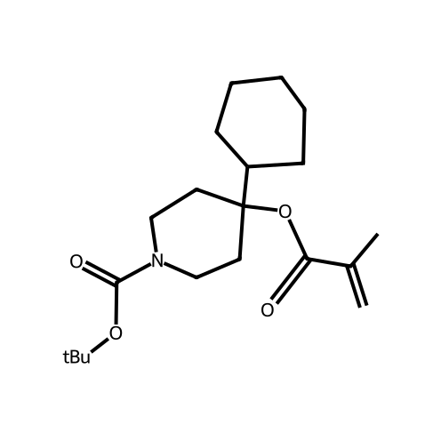 C=C(C)C(=O)OC1(C2CCCCC2)CCN(C(=O)OC(C)(C)C)CC1